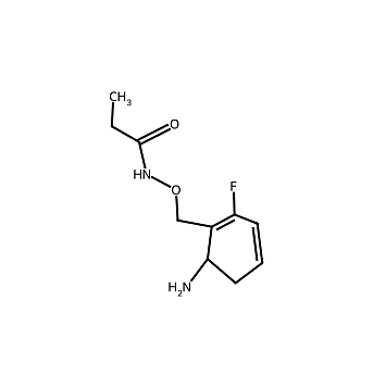 CCC(=O)NOCC1=C(F)C=CCC1N